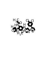 C=CC(=O)Nc1cc(Nc2cc(N3OCC[C@@H]3c3ccc(Cl)c(Cl)c3)ncn2)c(OC)cc1N1C[C@H]2C[C@@H]1CO2